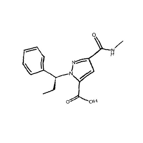 CC[C@@H](c1ccccc1)n1nc(C(=O)NC)cc1C(=O)O